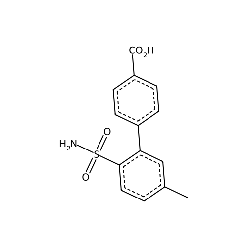 Cc1ccc(S(N)(=O)=O)c(-c2ccc(C(=O)O)cc2)c1